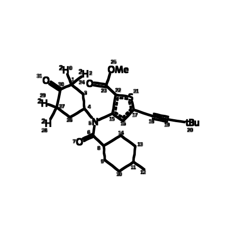 [2H]C1([2H])CC(N(C(=O)C2CCC(C)CC2)c2cc(C#CC(C)(C)C)sc2C(=O)OC)CC([2H])([2H])C1=O